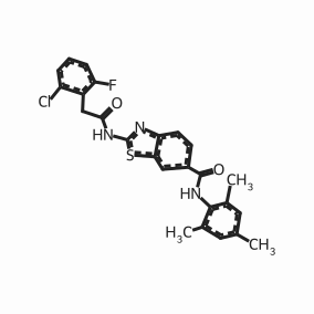 Cc1cc(C)c(NC(=O)c2ccc3nc(NC(=O)Cc4c(F)cccc4Cl)sc3c2)c(C)c1